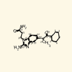 CC(C(=O)C1CCCCC1)c1ccc2c(c1)nc(N)n2CCC(N)=O